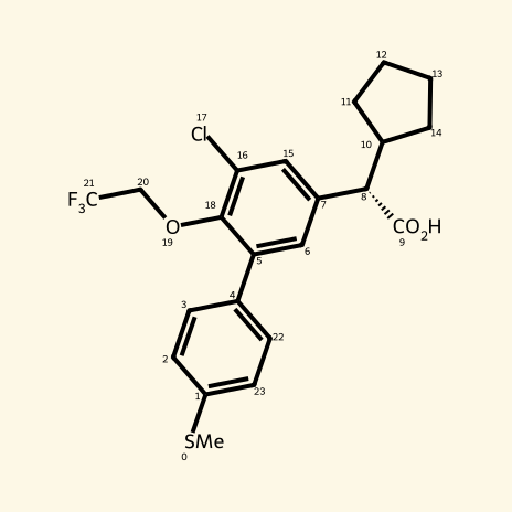 CSc1ccc(-c2cc([C@@H](C(=O)O)C3CCCC3)cc(Cl)c2OCC(F)(F)F)cc1